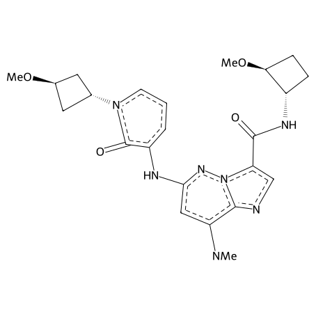 CNc1cc(Nc2cccn([C@H]3C[C@H](OC)C3)c2=O)nn2c(C(=O)N[C@H]3CC[C@@H]3OC)cnc12